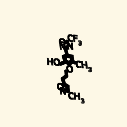 Cc1cc(CCCOc2c(C)cc(-c3noc(C(F)(F)F)n3)cc2CO)on1